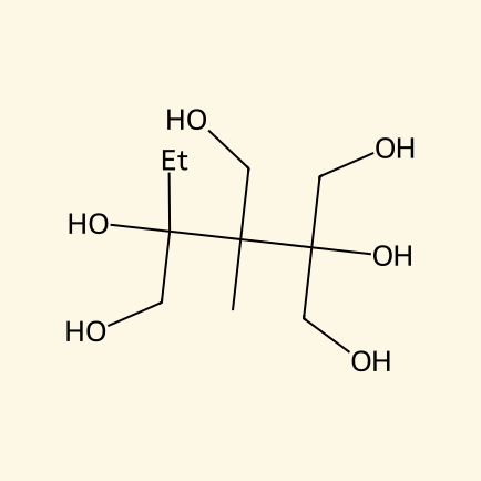 CCC(O)(CO)C(C)(CO)C(O)(CO)CO